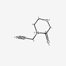 N#CCN1CCOCC1=O